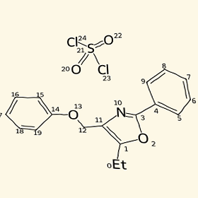 CCc1oc(-c2ccccc2)nc1COc1ccccc1.O=S(=O)(Cl)Cl